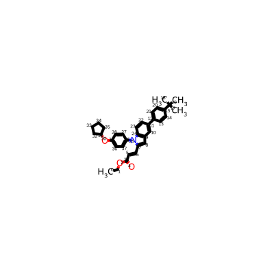 CCOC(=O)/C=C/c1cc2cc(-c3ccc(C(C)(C)C)cc3)ccc2n1-c1ccc(OC2CCCC2)cc1